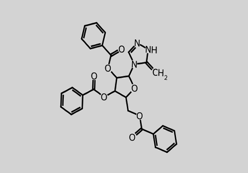 C=C1NN=CN1C1OC(COC(=O)c2ccccc2)C(OC(=O)c2ccccc2)C1OC(=O)c1ccccc1